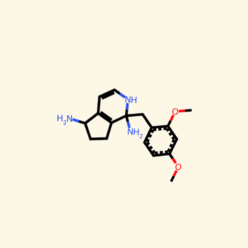 COc1ccc(CC2(N)NC=CC3=C2CCC3N)c(OC)c1